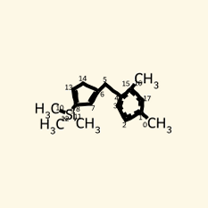 Cc1ccc(CC2=CC([Si](C)(C)C)=CC2)c(C)c1